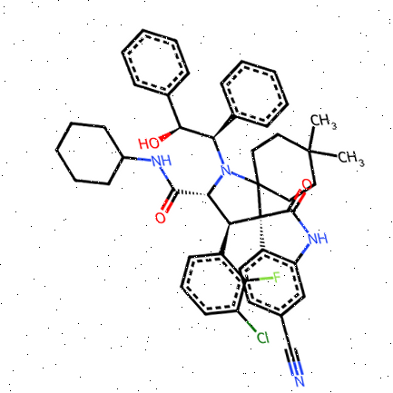 CC1(C)CCC2(CC1)N([C@H](c1ccccc1)[C@@H](O)c1ccccc1)[C@@H](C(=O)NC1CCCCC1)[C@H](c1cccc(Cl)c1F)[C@]21C(=O)Nc2cc(C#N)ccc21